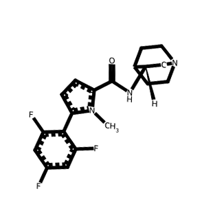 Cn1c(C(=O)N[C@H]2CN3CCC2CC3)ccc1-c1c(F)cc(F)cc1F